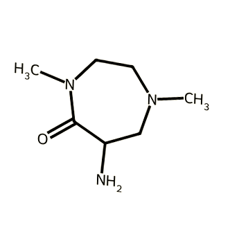 CN1CCN(C)C(=O)C(N)C1